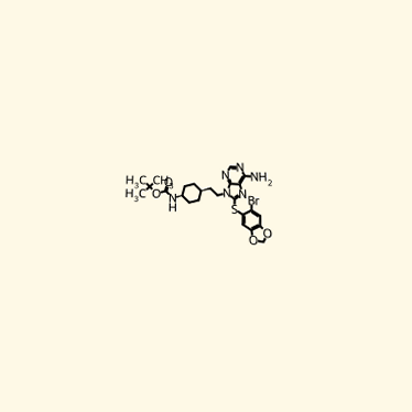 CC(C)(C)OC(=O)N[C@H]1CC[C@@H](CCn2c(Sc3cc4c(cc3Br)OCO4)nc3c(N)ncnc32)CC1